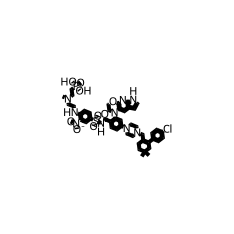 CN(CCNc1ccc(S(=O)(=O)NC(=O)c2ccc(N3CCN(CC4=C(c5ccc(Cl)cc5)CC(C)(C)CC4)CC3)cc2N2CCOc3nc4[nH]ccc4cc32)cc1[N+](=O)[O-])CCP(=O)(O)O